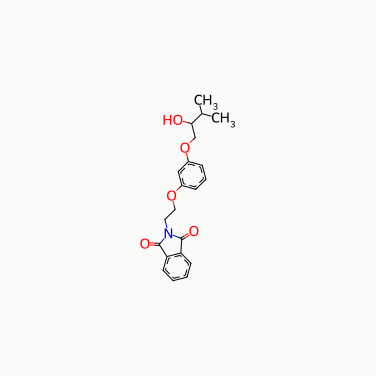 CC(C)C(O)COc1cccc(OCCN2C(=O)c3ccccc3C2=O)c1